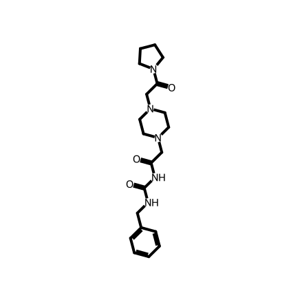 O=C(CN1CCN(CC(=O)N2CCCC2)CC1)NC(=O)NCc1ccccc1